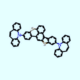 C1=Cc2ccccc2N(c2ccc3c(c2)Sc2cccc4c2c-3cc2sc3cc(N5c6ccccc6C=Cc6ccccc65)ccc3c24)c2ccccc21